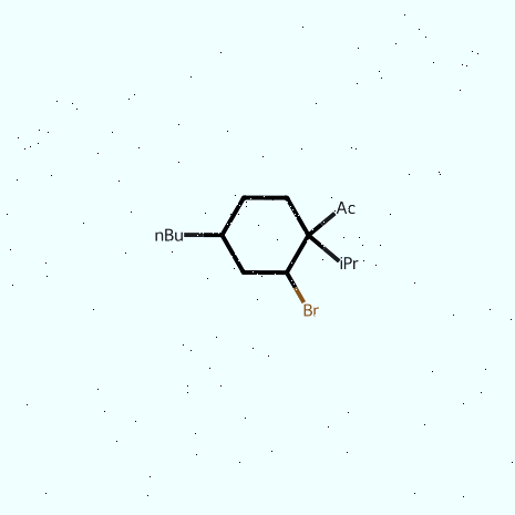 CCCCC1CCC(C(C)=O)(C(C)C)C(Br)C1